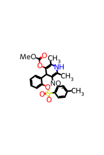 COC(=O)OC1=C(C)NC(C)=C([N+](=O)[O-])C1c1ccccc1OS(=O)(=O)c1ccc(C)cc1